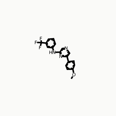 COc1ccc(-c2cncc(Nc3cccc(C(F)(F)F)c3)n2)cc1